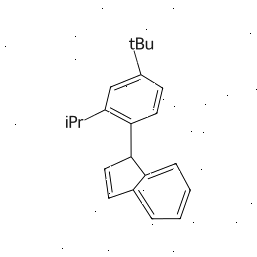 CC(C)c1cc(C(C)(C)C)ccc1C1C=Cc2ccccc21